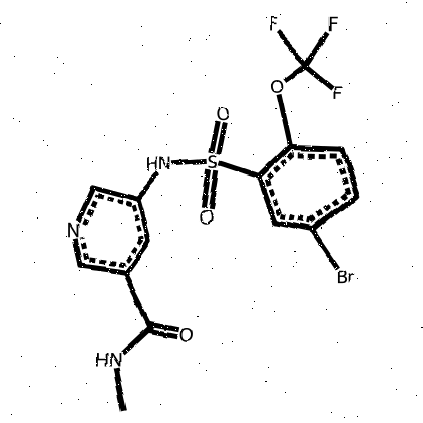 CNC(=O)c1cncc(NS(=O)(=O)c2cc(Br)ccc2OC(F)(F)F)c1